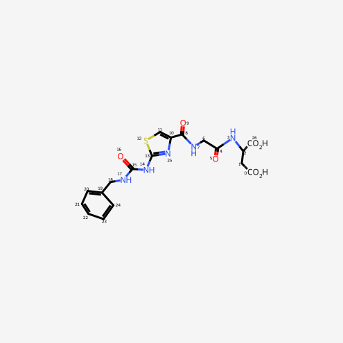 O=C(O)CC(NC(=O)CNC(=O)c1csc(NC(=O)NCc2ccccc2)n1)C(=O)O